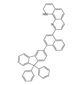 C1=Cc2ccc3ccc(-c4ccc(-c5ccc6c(c5)-c5ccccc5C6(c5ccccc5)c5ccccc5)c5ccccc45)nc3c2NC1